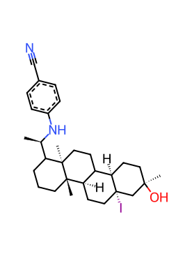 C[C@@H](Nc1ccc(C#N)cc1)C1CCC[C@@]2(C)[C@@H]3CC[C@]4(I)C[C@](C)(O)CC[C@@H]4C3CC[C@]12C